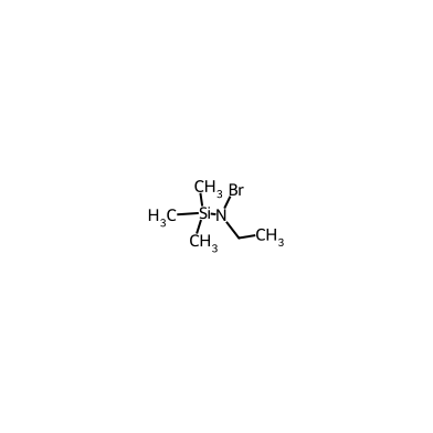 CCN(Br)[Si](C)(C)C